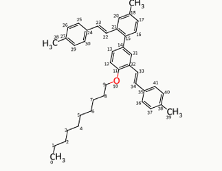 CCCCCCCCCCOc1ccc(-c2ccc(C)cc2/C=C/c2ccc(C)cc2)cc1/C=C/c1ccc(C)cc1